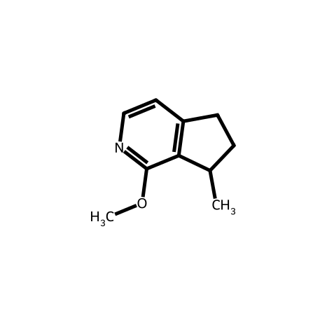 COc1nccc2c1C(C)CC2